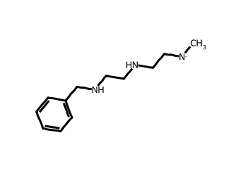 C[N]CCNCCNCc1ccccc1